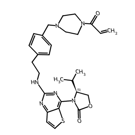 C=CC(=O)N1CCN(Cc2ccc(CCNc3nc(N4C(=O)OC[C@@H]4C(C)C)c4sccc4n3)cc2)CC1